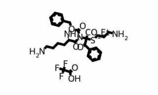 CCOC(=O)C(SCCCN)(C(=O)c1ccccc1)N(C(=O)OCc1ccccc1)C(=O)[C@@H](N)CCCCN.O=C(O)C(F)(F)F